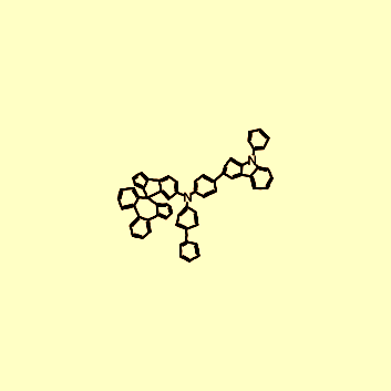 c1ccc(-c2ccc(N(c3ccc(-c4ccc5c(c4)c4ccccc4n5-c4ccccc4)cc3)c3ccc4c(c3)C3(c5ccccc5-c5ccccc5-c5ccccc53)c3ccccc3-4)cc2)cc1